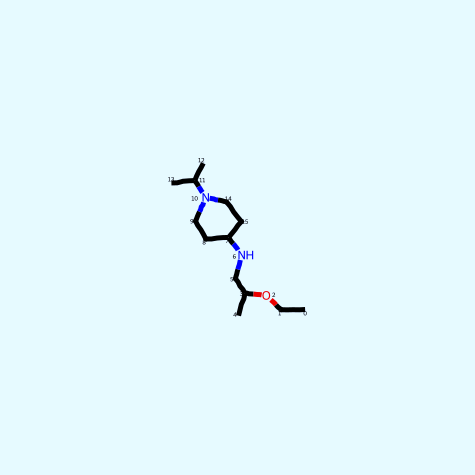 CCOC(C)CNC1CCN(C(C)C)CC1